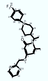 Cc1cc(OCc2ncccn2)cc(=O)n1C(C)C1CCN(c2ccc(C(F)(F)F)cc2)CC1